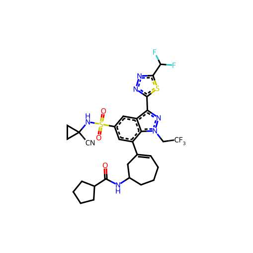 N#CC1(NS(=O)(=O)c2cc(C3=CCCCC(NC(=O)C4CCCC4)C3)c3c(c2)c(-c2nnc(C(F)F)s2)nn3CC(F)(F)F)CC1